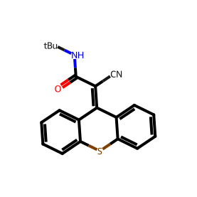 [CH2]C(C)(C)NC(=O)C(C#N)=C1c2ccccc2Sc2ccccc21